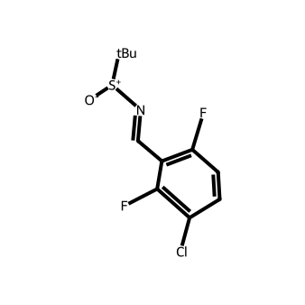 CC(C)(C)[S+]([O-])/N=C/c1c(F)ccc(Cl)c1F